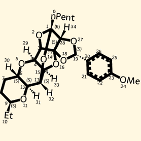 CCCCC[C@]12OC3[C@@H]4O[C@H]5CC[C@H](CC)O[C@@H]5[C@H](O1)[C@@H]4OC31O[C@@H](c3ccc(OC)cc3)O[C@H]12